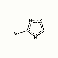 Brc1ncsn1